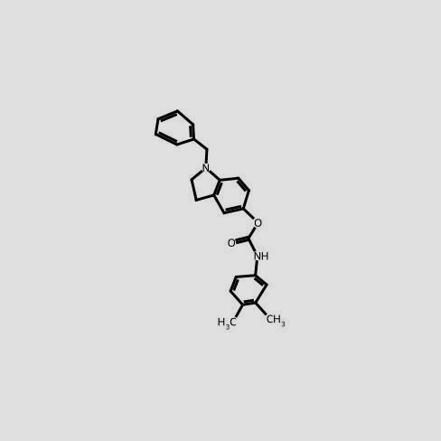 Cc1ccc(NC(=O)Oc2ccc3c(c2)CCN3Cc2ccccc2)cc1C